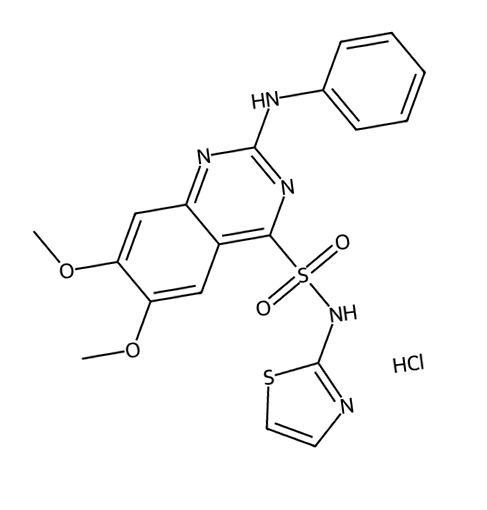 COc1cc2nc(Nc3ccccc3)nc(S(=O)(=O)Nc3nccs3)c2cc1OC.Cl